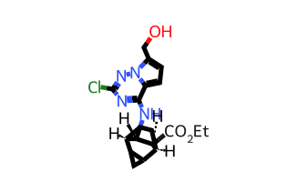 CCOC(=O)[C@@H]1[C@@H](Nc2nc(Cl)nn3c(CO)ccc23)[C@@H]2CC[C@H]1C1CC12